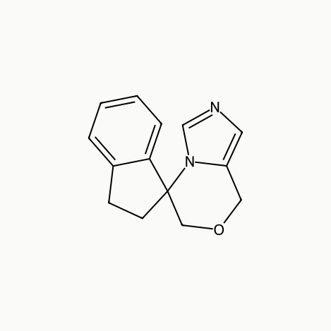 c1ccc2c(c1)CCC21COCc2cncn21